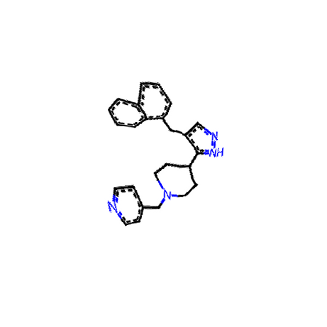 c1ccc2c(Cc3cn[nH]c3C3CCN(Cc4ccncc4)CC3)cccc2c1